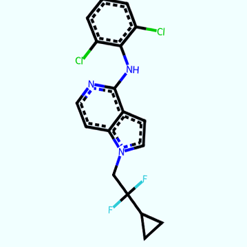 FC(F)(Cn1ccc2c(Nc3c(Cl)cccc3Cl)nccc21)C1CC1